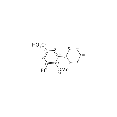 CCc1cc(C(=O)O)cc(C2CCCCC2)c1OC